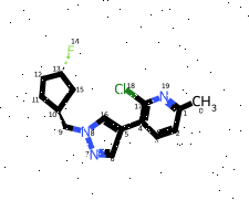 Cc1ccc(-c2cnn(C[C@H]3CC[C@H](F)C3)c2)c(Cl)n1